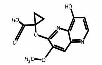 COc1cc2nccc(O)c2nc1OC1(C(=O)O)CC1